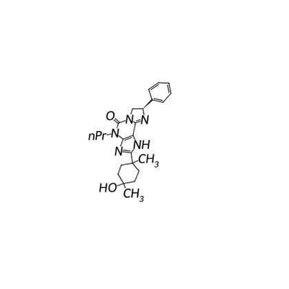 CCCN1C(=O)N2C[C@@H](c3ccccc3)N=C2c2[nH]c(C3(C)CCC(C)(O)CC3)nc21